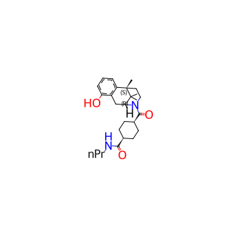 CCCNC(=O)[C@H]1CC[C@@H](C(=O)N2CC[C@@]3(C)c4cccc(O)c4C[C@@H]2C3(C)C)CC1